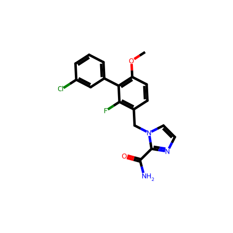 COc1ccc(Cn2ccnc2C(N)=O)c(F)c1-c1cccc(Cl)c1